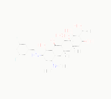 CC(O)C1C(O)C[C@]2(C)C[C@]3(C)CC4C(C(=O)C3C(O)[C@]2(O)C1O)C(O)C(NCC1CC(F)CC(F)C1)CC4N(C)C